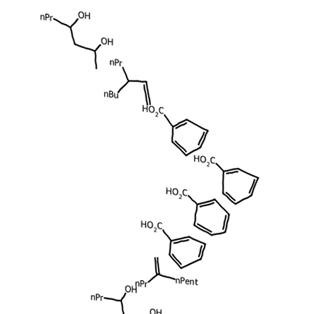 C=C(CCC)CCCCC.C=CC(CCC)CCCC.CCCC(O)CC(C)O.CCCC(O)CC(C)O.O=C(O)c1ccccc1.O=C(O)c1ccccc1.O=C(O)c1ccccc1.O=C(O)c1ccccc1